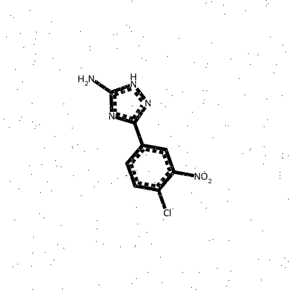 Nc1nc(-c2ccc(Cl)c([N+](=O)[O-])c2)n[nH]1